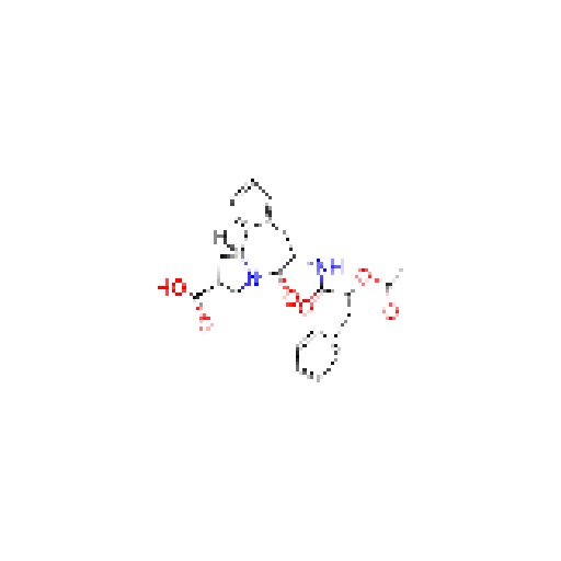 CC(=O)O[C@H](Cc1ccccc1)C(=O)N[C@H]1Cc2ccccc2[C@H]2C[C@H](C(=O)O)CN2C1=O